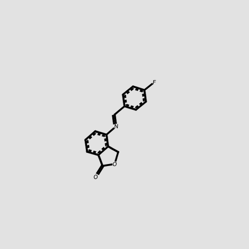 O=C1OCc2c(N=Cc3ccc(F)cc3)cccc21